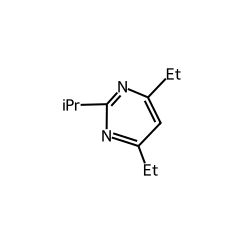 CCc1cc(CC)nc(C(C)C)n1